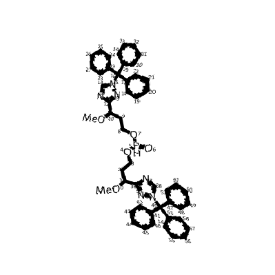 COC(CCO[PH](=O)OCCC(OC)c1ncn(C(c2ccccc2)(c2ccccc2)c2ccccc2)n1)c1ncn(C(c2ccccc2)(c2ccccc2)c2ccccc2)n1